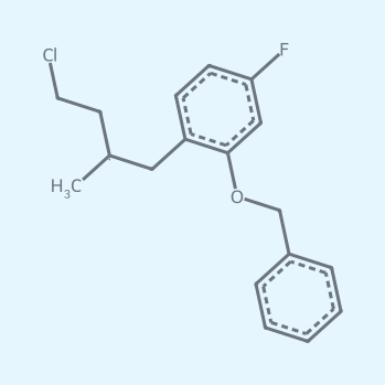 C[C](CCCl)Cc1ccc(F)cc1OCc1ccccc1